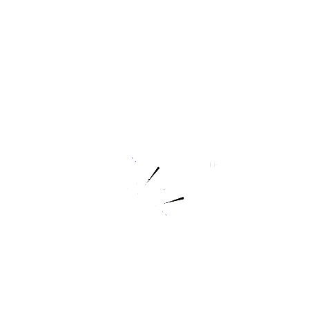 COc1ccc(C(C)C)cc1N[C@H]1C2CCN(CC2)[C@H]1C.Cl